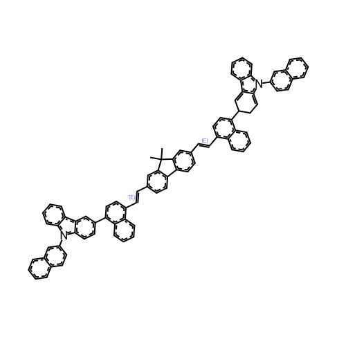 CC1(C)c2cc(/C=C/c3ccc(-c4ccc5c(c4)c4ccccc4n5-c4ccc5ccccc5c4)c4ccccc34)ccc2-c2ccc(/C=C/c3ccc(C4C=c5c(n(-c6ccc7ccccc7c6)c6ccccc56)=CC4)c4ccccc34)cc21